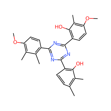 COc1ccc(-c2nc(-c3ccc(C)c(C)c3O)nc(-c3ccc(OC)c(C)c3O)n2)c(C)c1C